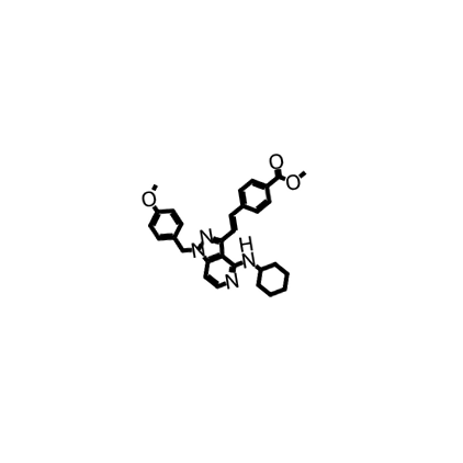 COC(=O)c1ccc(C=Cc2nn(Cc3ccc(OC)cc3)c3ccnc(NC4CCCCC4)c23)cc1